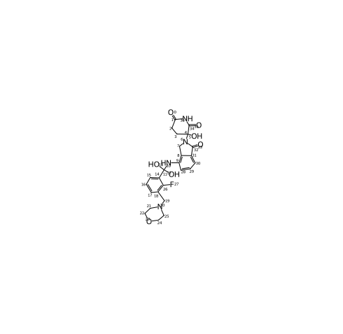 O=C1CCC(O)(N2Cc3c(NC(O)(O)c4cccc(CN5CCOCC5)c4F)cccc3C2=O)C(=O)N1